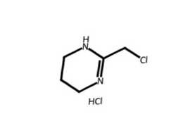 Cl.ClCC1=NCCCN1